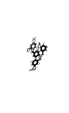 COc1cccc(CN(Cc2cccc(OC)c2)c2ccc(CN3CCNCC3=O)cc2)c1